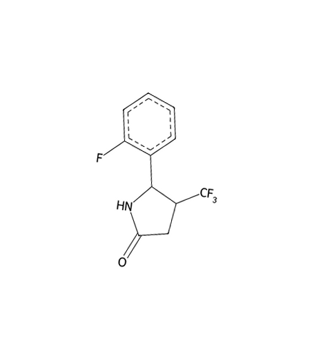 O=C1CC(C(F)(F)F)C(c2ccccc2F)N1